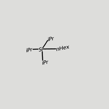 CCCCCC[Si](C(C)C)(C(C)C)C(C)C